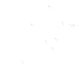 CNc1nc(-c2cc(OC)cc(OC)c2)c(-c2ccnc(Nc3ccc(OCCN4CCCC4)c(Cl)c3)n2)s1